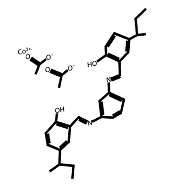 CC(=O)[O-].CC(=O)[O-].CCC(C)c1ccc(O)c(C=Nc2cccc(N=Cc3cc(C(C)CC)ccc3O)c2)c1.[Co+2]